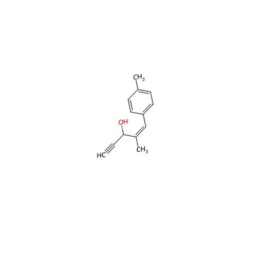 C#CC(O)C(C)=Cc1ccc(C)cc1